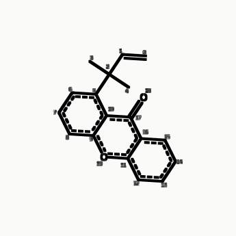 C=CC(C)(C)c1cccc2oc3ccccc3c(=O)c12